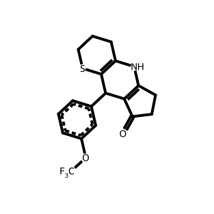 O=C1CCC2=C1C(c1cccc(OC(F)(F)F)c1)C1=C(CCCS1)N2